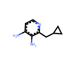 Nc1ccnc(CC2CC2)c1N